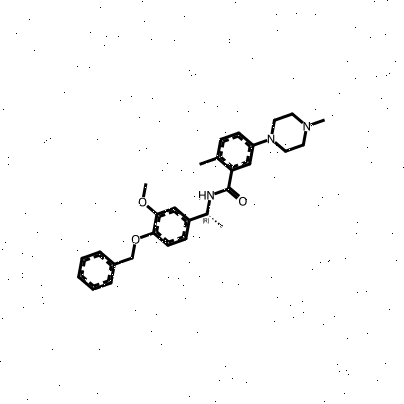 COc1cc([C@@H](C)NC(=O)c2cc(N3CCN(C)CC3)ccc2C)ccc1OCc1ccccc1